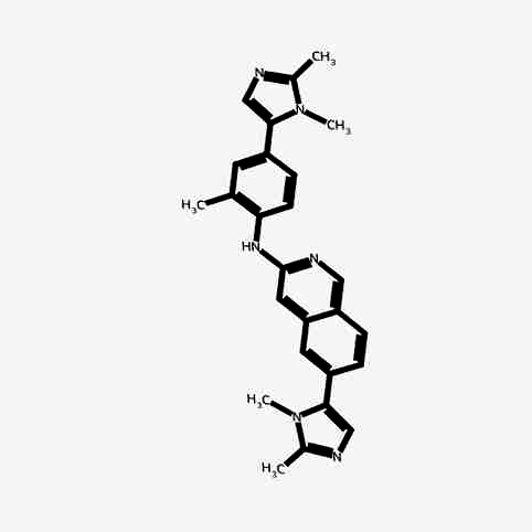 Cc1cc(-c2cnc(C)n2C)ccc1Nc1cc2cc(-c3cnc(C)n3C)ccc2cn1